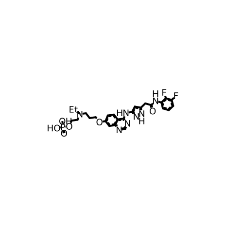 CCN(CCCOc1ccc2c(Nc3cc(CC(=O)Nc4cccc(F)c4F)[nH]n3)ncnc2c1)CCOP(=O)(O)O